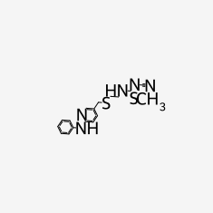 CS/C(=N\C#N)NCCSCc1ccc(Nc2ccccc2)nc1